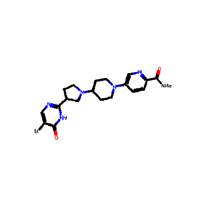 CCc1cnc(C2CCN(C3CCN(c4ccc(C(=O)NC)nc4)CC3)C2)[nH]c1=O